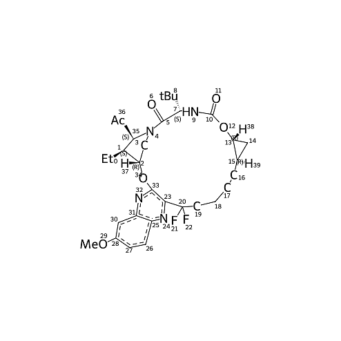 CC[C@@H]1[C@@H]2CN(C(=O)[C@H](C(C)(C)C)NC(=O)O[C@@H]3C[C@H]3CCCCC(F)(F)c3nc4ccc(OC)cc4nc3O2)[C@@H]1C(C)=O